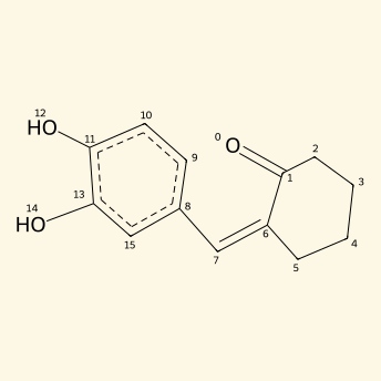 O=C1CCCC/C1=C/c1ccc(O)c(O)c1